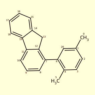 Cc1ccc(C)c(-c2cccc3c2Cc2ccccc2-3)c1